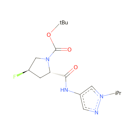 CC(C)n1cc(NC(=O)[C@@H]2C[C@@H](F)CN2C(=O)OC(C)(C)C)cn1